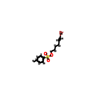 Cc1ccc(S(=O)(=O)OCCCCC#CBr)cc1